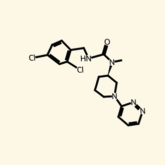 CN(C(=O)NCc1ccc(Cl)cc1Cl)[C@@H]1CCCN(c2cccnn2)C1